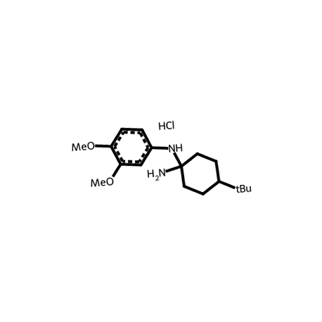 COc1ccc(NC2(N)CCC(C(C)(C)C)CC2)cc1OC.Cl